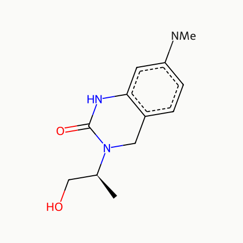 CNc1ccc2c(c1)NC(=O)N([C@@H](C)CO)C2